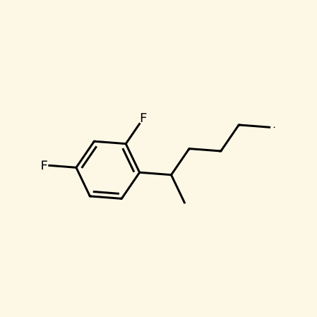 [CH2]CCCC(C)c1ccc(F)cc1F